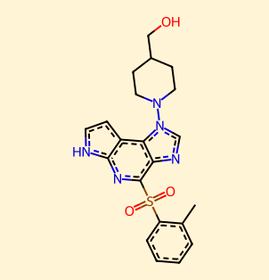 Cc1ccccc1S(=O)(=O)c1nc2[nH]ccc2c2c1ncn2N1CCC(CO)CC1